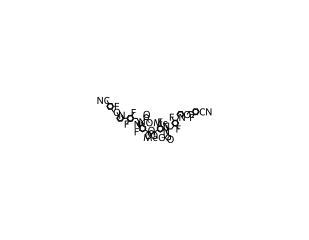 CO[C@@H]1COC[C@@H]1n1c(Cc2cc(F)c(-c3cccc(OCc4ccc(C#N)cc4F)n3)cc2F)nc2c(F)cc(C(=O)OC(=O)c3cc(F)c4nc(Cc5cc(F)c(-c6cccc(OCc7ccc(C#N)cc7F)n6)cc5F)n([C@H]5COC[C@H]5OC)c4c3)cc21